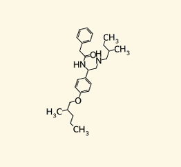 CCCC(C)COc1ccc(C(CNCC(C)CC)NC(=O)Cc2ccccc2)cc1